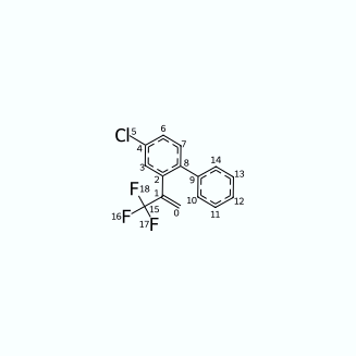 C=C(c1cc(Cl)ccc1-c1ccccc1)C(F)(F)F